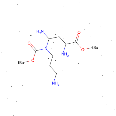 CC(C)(C)OC(=O)C(N)CC(N)N(CCCN)C(=O)OC(C)(C)C